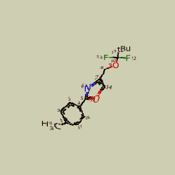 Cc1ccc(-c2nc(COC(F)(F)C(C)(C)C)co2)cc1